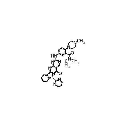 CN1CCN(c2ccc(Nc3ncc4c(=O)n5c(nc4n3)c3ccccc3n5-c3ncccn3)cc2C(=O)N(C)C)CC1